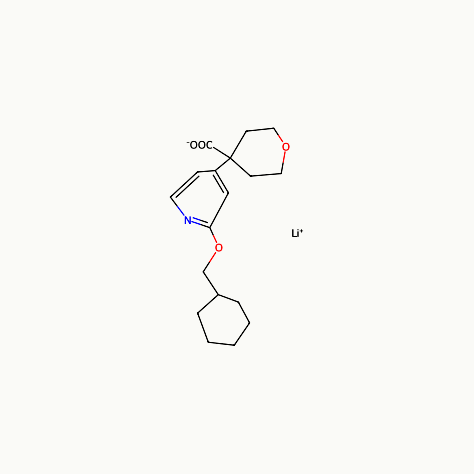 O=C([O-])C1(c2ccnc(OCC3CCCCC3)c2)CCOCC1.[Li+]